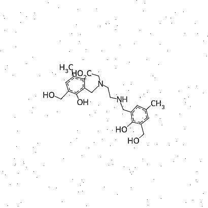 Cc1cc(CO)c(O)c(CNCCN(CC(=O)O)Cc2cc(C)cc(CO)c2O)c1